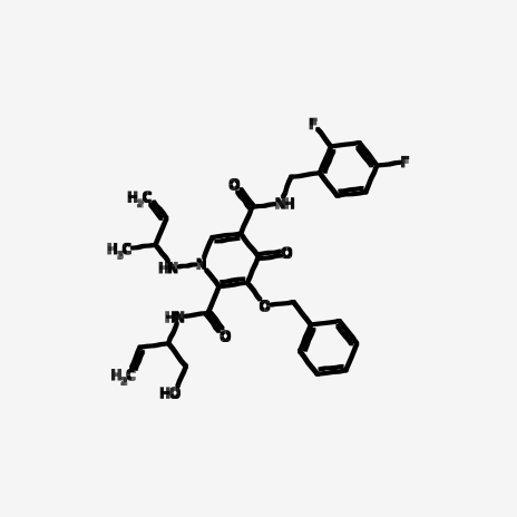 C=CC(C)Nn1cc(C(=O)NCc2ccc(F)cc2F)c(=O)c(OCc2ccccc2)c1C(=O)NC(C=C)CO